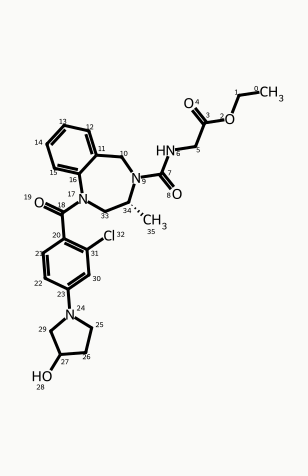 CCOC(=O)CNC(=O)N1Cc2ccccc2N(C(=O)c2ccc(N3CCC(O)C3)cc2Cl)C[C@H]1C